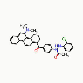 CC(=O)N(Nc1ccccc1Cl)c1ccc(C(=O)C2=c3ccc4c(c3CCC2)C(N(C)C)C=c2ccccc2=4)cc1